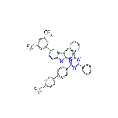 FC(F)(F)c1ccc(-c2ccc(-c3nc(-c4ccccc4)nc(-c4ccccc4)n3)c(-n3c4ccccc4c4cc(-c5cc(C(F)(F)F)cc(C(F)(F)F)c5)ccc43)c2)cc1